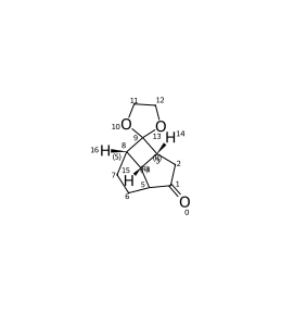 O=C1C[C@@H]2[C@@H]3C1CC[C@@H]3C21OCCO1